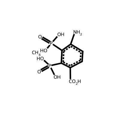 C.Nc1ccc(C(=O)O)c(P(=O)(O)O)c1P(=O)(O)O